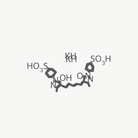 CC1=NN(c2ccc(S(=O)(=O)O)cc2)C(=O)C1=CC=CC=Cc1c(C)nn(-c2ccc(S(=O)(=O)O)cc2)c1O.[KH].[KH]